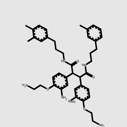 COc1cc(C(C(=O)NCCCc2cccc(C)c2)C(C(=O)NCCCc2ccc(C)c(C)c2)c2ccc(OCCN)c(N)c2)ccc1OCCN